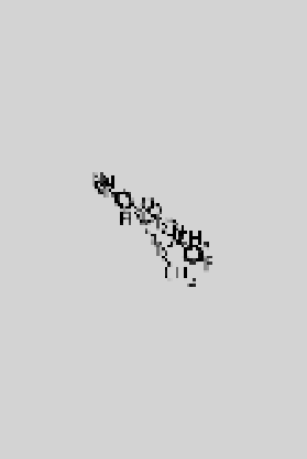 C=CCN(CCC[C@H](NC(=O)c1ccc(-n2ccnn2)cc1F)C(=O)N1CCN(C)CC1)[C@@H]1C[C@H]1c1ccc(F)cc1